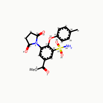 COC(=O)c1cc(N2C(=O)CCC2=O)c(Oc2ccc(C)cc2)c(S(N)(=O)=O)c1